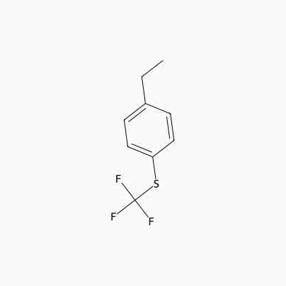 CCc1ccc(SC(F)(F)F)cc1